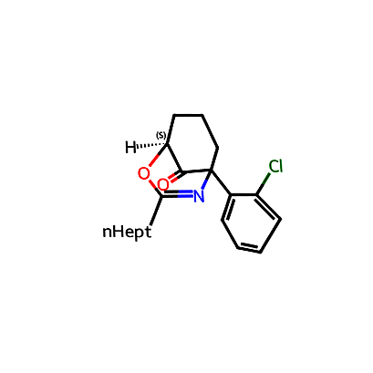 CCCCCCCC1=NC2(c3ccccc3Cl)CCC[C@H](O1)C2=O